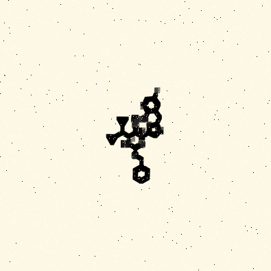 COc1ncc(F)cc1Cc1ncc(NC(=O)[C@@H](NC(=O)OCc2ccccc2)C(C2CC2)C2CC2)s1